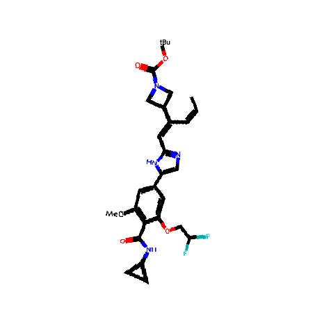 C/C=C\C(=C/c1ncc(-c2cc(OC)c(C(=O)NC3CC3)c(OCC(F)F)c2)[nH]1)C1CN(C(=O)OC(C)(C)C)C1